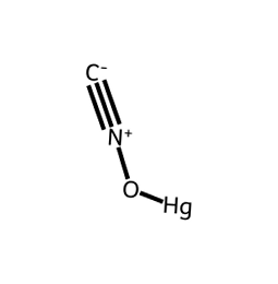 [C-]#[N+][O][Hg]